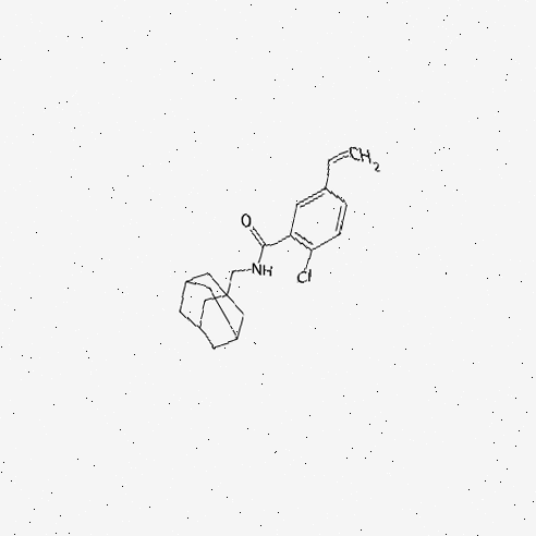 C=Cc1ccc(Cl)c(C(=O)NCC23CC4CC(CC(C4)C2)C3)c1